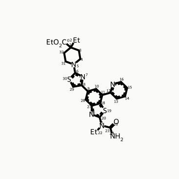 CCOC(=O)C1(CC)CCN(c2nc(-c3cc(-c4ccccn4)c4sc(N(CC)C(N)=O)nc4c3)cs2)CC1